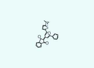 CN(C)c1ccc(C2=CC(=C3C(=O)c4ccccc4C3=O)C=C(c3ccccc3)O2)s1